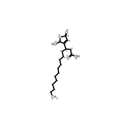 CCCCCCCCCCCCC(CC(=O)O)C1=CC(=O)OC1O